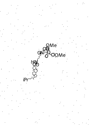 COc1ccc(COC(c2ccccc2)(c2ccc(OC)cc2)C2CN(C(=O)CCCCCNC(=O)OC3CCC4(C)C(=CCC5C4CCC4(C)C(C(C)CCCC(C)C)CCC54)C3)CC2O)cc1